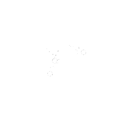 CN(CCOC[C@H]1O[C@@H](n2ccc(NC(=O)c3ccccc3)nc2=O)[C@H](O[Si](C)(C)C(C)(C)C)C1O)C(=O)CN1C(=O)c2ccccc2C1=O